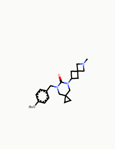 CC(C)COc1ccc(CN2CC3(CC3)CN(C3CC4(C3)CN(C)C4)C2=O)cc1